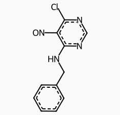 O=Nc1c(Cl)ncnc1NCc1ccccc1